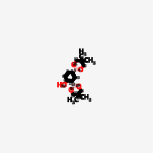 CC1(C)COB(c2ccc(O)c(B3OCC(C)(C)CO3)c2)OC1